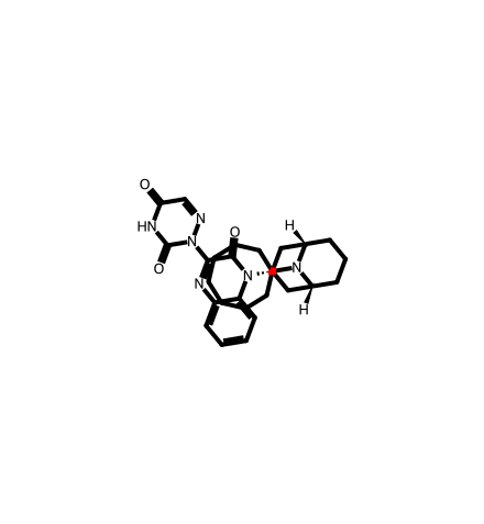 O=c1cnn(-c2nc3ccccc3n([C@H]3C[C@H]4CCC[C@@H](C3)N4C3CCCCCCC3)c2=O)c(=O)[nH]1